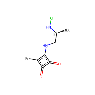 CC(C)c1c(NC[C@@H](NCl)C(C)(C)C)c(=O)c1=O